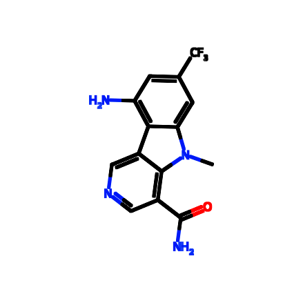 Cn1c2cc(C(F)(F)F)cc(N)c2c2cncc(C(N)=O)c21